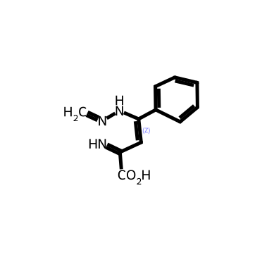 C=NN/C(=C\C(=N)C(=O)O)c1ccccc1